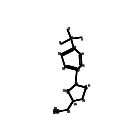 CC(C)(C)c1ccc(C2SCC(CS)S2)cc1